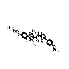 COOSc1ccc(S(=O)(=O)C(C)(C)C(=O)Nc2nnc(-c3ccc(OC)cc3)[nH]2)c(F)c1